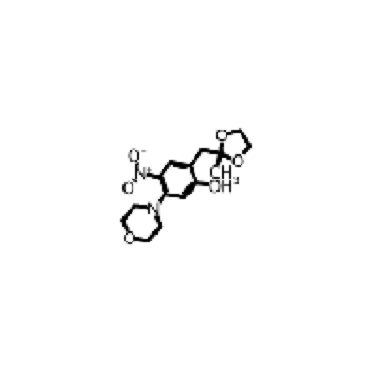 CC1(Cc2cc([N+](=O)[O-])c(N3CCOCC3)cc2O)OCCO1